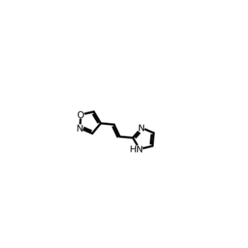 C(=Cc1ncc[nH]1)c1cnoc1